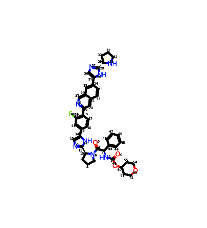 O=C(N[C@@H](C(=O)N1CCC[C@H]1c1ncc(-c2ccc(-c3cc4ccc(-c5cnc([C@@H]6CCCN6)[nH]5)cc4cn3)c(F)c2)[nH]1)c1ccccc1)OC1CCOCC1